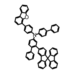 c1ccc(-c2ccc(N(c3ccc(-c4cccc5c4oc4ccccc45)cc3)c3ccc(-c4ccccc4)c(-c4ccc5c(c4)-c4ccccc4C54c5ccccc5-c5ccccc54)c3)cc2)cc1